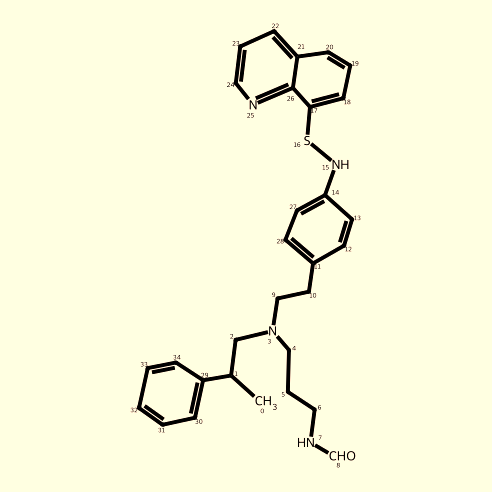 CC(CN(CCCNC=O)CCc1ccc(NSc2cccc3cccnc23)cc1)c1ccccc1